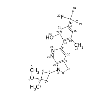 COC1(C)CC(N2CCc3cc(-c4c(C)cc(C(F)(F)F)cc4O)nnc32)C1